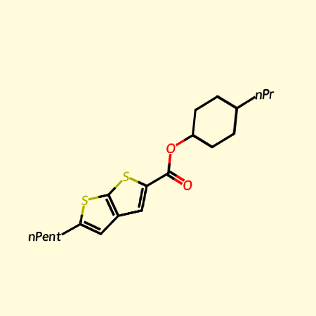 CCCCCc1cc2cc(C(=O)OC3CCC(CCC)CC3)sc2s1